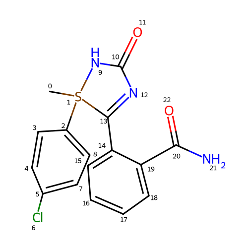 CS1(c2ccc(Cl)cc2)NC(=O)N=C1c1ccccc1C(N)=O